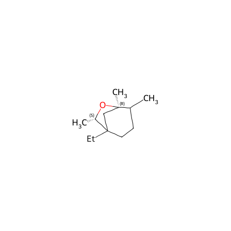 CCC12CCC(C)[C@@](C)(C1)O[C@H]2C